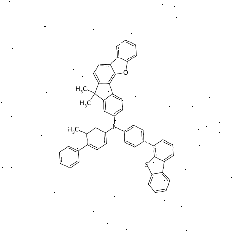 CC1CC(N(c2ccc(-c3cccc4c3sc3ccccc34)cc2)c2ccc3c(c2)C(C)(C)c2ccc4c(oc5ccccc54)c2-3)=CC=C1c1ccccc1